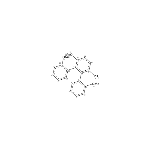 COc1ccccc1-c1c(P)ccc(OC)c1-c1ccccc1OC